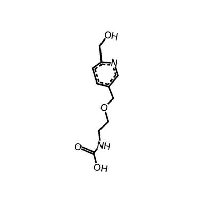 O=C(O)NCCOCc1ccc(CO)nc1